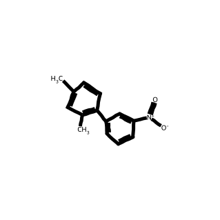 Cc1ccc(-c2cc[c]c([N+](=O)[O-])c2)c(C)c1